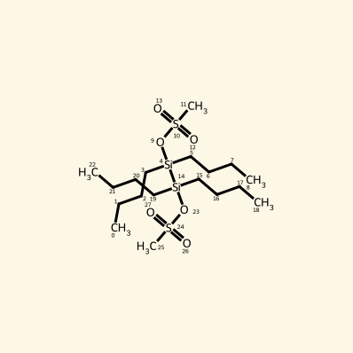 CCCC[Si](CCCC)(OS(C)(=O)=O)[Si](CCCC)(CCCC)OS(C)(=O)=O